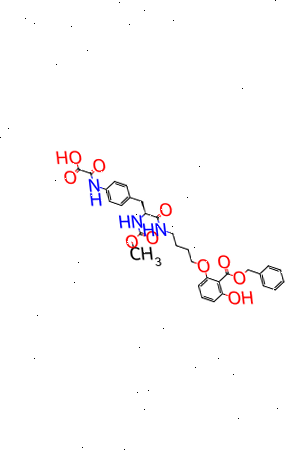 COC(=O)N[C@@H](Cc1ccc(NC(=O)C(=O)O)cc1)C(=O)NCCCCOc1cccc(O)c1C(=O)OCc1ccccc1